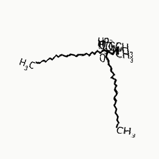 CCCCCCCCCCCCCCCCCCCCCC(=O)C(C[N+](C)(C)C)(O[PH-])C(=O)CCCCCCCCCCCCCCCCCCCCC